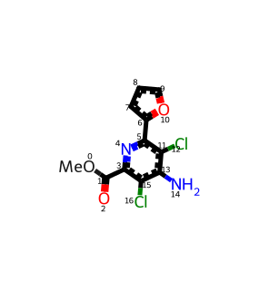 COC(=O)c1nc(-c2ccco2)c(Cl)c(N)c1Cl